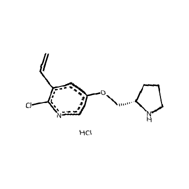 C=Cc1cc(OC[C@@H]2CCCN2)cnc1Cl.Cl